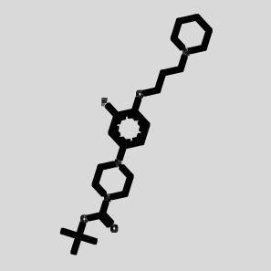 CC(C)(C)OC(=O)N1CCN(c2ccc(OCCCN3CCCCC3)c(F)c2)CC1